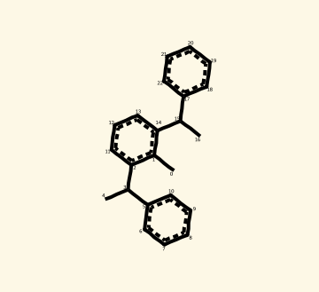 Cc1c(C(C)c2ccccc2)cccc1C(C)c1ccccc1